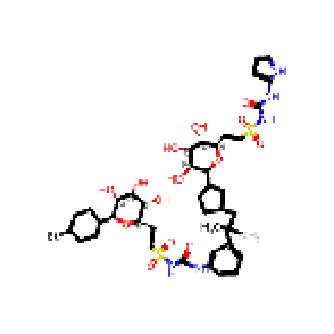 CCC1CCC(C2O[C@H](CCS(=O)(=O)NC(=O)Nc3cccc(C(C)(C)CC4CCC(C5O[C@H](CCS(=O)(=O)NC(=O)Nc6ccc[nH]6)[C@@H](O)[C@H](O)[C@@H]5O)C4)c3)[C@@H](O)[C@H](O)[C@@H]2O)CC1